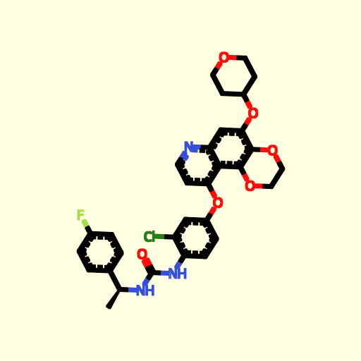 C[C@H](NC(=O)Nc1ccc(Oc2ccnc3cc(OC4CCOCC4)c4c(c23)OCCO4)cc1Cl)c1ccc(F)cc1